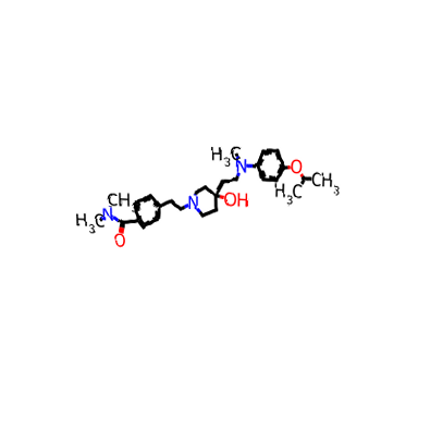 CC(C)Oc1ccc(N(C)CCC2(O)CCN(CCc3ccc(C(=O)N(C)C)cc3)CC2)cc1